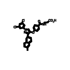 Cc1ccc2cc(-c3nn(-c4cc(Cl)cc(Cl)c4)cc3Oc3ccc(C(=O)NCCC(=O)O)cc3)ccc2c1